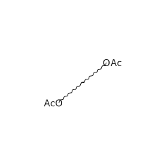 CC(=O)OCCCCCCCCCCC=CCCCCCCCCCCOC(C)=O